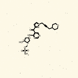 NS(=O)(=O)OC[C@H]1C[C@@H](Nc2ncncc2C(=O)c2ccn(CC#CCC3CCOCC3)n2)C[C@@H]1O